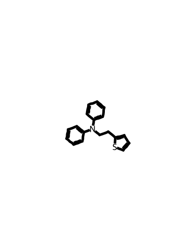 c1ccc(N(CCc2cccs2)c2ccccc2)cc1